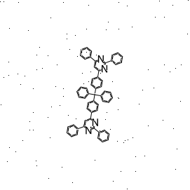 c1ccc(-c2cc(-c3ccc(C(c4ccccc4)(c4ccccc4)c4ccc(-c5cc(-c6ccccc6)nc(-c6ccccc6)n5)cc4)cc3)nc(-c3ccccc3)n2)cc1